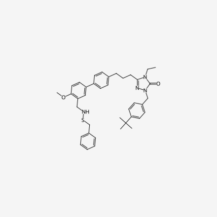 CCn1c(CCCc2ccc(-c3ccc(OC)c(CNSCc4ccccc4)c3)cc2)nn(Cc2ccc(C(C)(C)C)cc2)c1=O